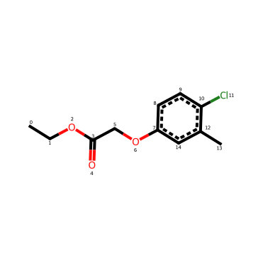 CCOC(=O)COc1ccc(Cl)c(C)c1